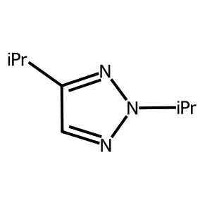 CC(C)c1cnn(C(C)C)n1